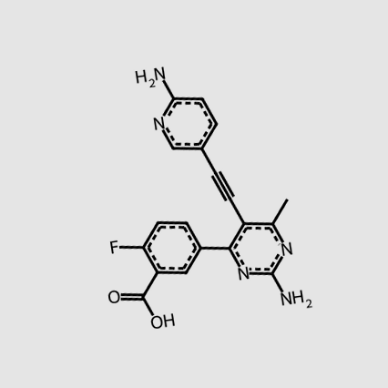 Cc1nc(N)nc(-c2ccc(F)c(C(=O)O)c2)c1C#Cc1ccc(N)nc1